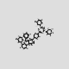 c1ccc(-c2nc(-c3ccccc3)nc(-c3ccc(-c4ncc5c(n4)C(c4ccccc4)(c4ccccc4)c4ccccc4-5)cc3)n2)cc1